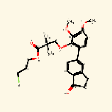 COc1ccc(-c2ccc3c(c2)CCC3=O)c(OCC(C)(C)C(=O)OCCCF)c1OC